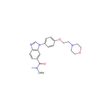 CON(C)C(=O)c1ccc2ncn(-c3ccc(OCCN4CCOCC4)cc3)c2c1